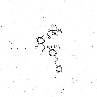 Cc1cc(OCc2ccccc2)ccc1NC(=O)c1cc(CC(=O)OC(C)(C)C)ccc1Cl